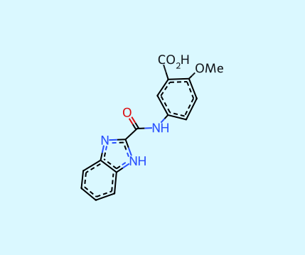 COc1ccc(NC(=O)c2nc3ccccc3[nH]2)cc1C(=O)O